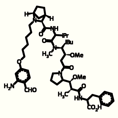 CC[C@H](C)[C@@H]([C@@H](CC(=O)N1CCCC1[C@H](OC)[C@@H](C)C(=O)NC(Cc1ccccc1)C(=O)O)OC)N(C)C(=O)C(NC(=O)[C@@H]1[C@H]2CC[C@H](C2)N1CCCCCCOc1ccc(C=O)c(N)c1)C(C)C